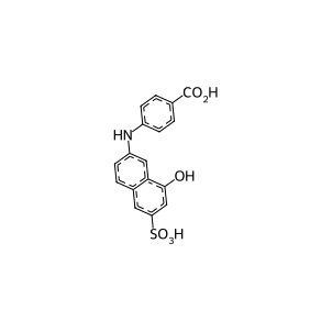 O=C(O)c1ccc(Nc2ccc3cc(S(=O)(=O)O)cc(O)c3c2)cc1